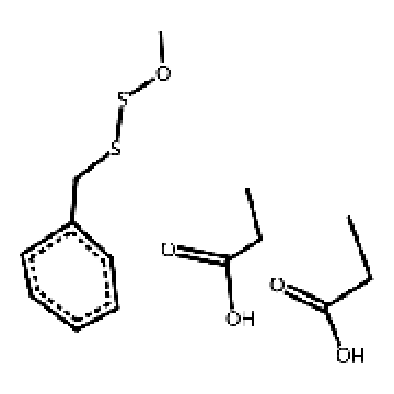 CCC(=O)O.CCC(=O)O.COSSCc1ccccc1